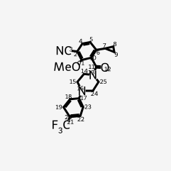 COc1c(C#N)ccc(C2CC2)c1C(=O)N1CCN(c2ccc(C(F)(F)F)cc2)CC1